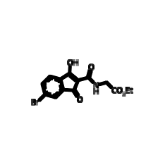 CCOC(=O)CNC(=O)C1=C(O)c2ccc(Br)cc2C1=O